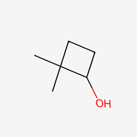 CC1(C)CCC1O